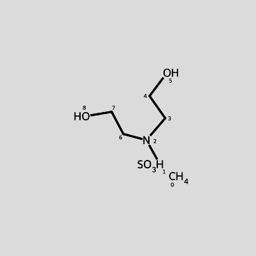 C.O=S(=O)(O)N(CCO)CCO